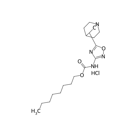 CCCCCCCCOC(=O)Nc1noc(C2CN3CCC2CC3)n1.Cl